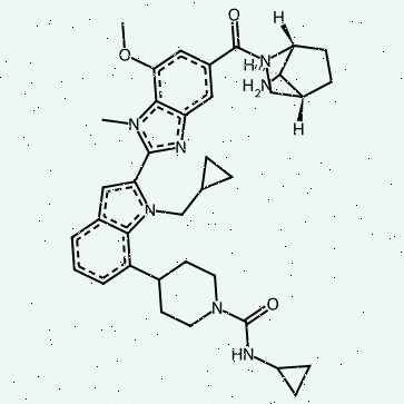 COc1cc(C(=O)N2C[C@H]3CC[C@@H]2[C@@H]3N)cc2nc(-c3cc4cccc(C5CCN(C(=O)NC6CC6)CC5)c4n3CC3CC3)n(C)c12